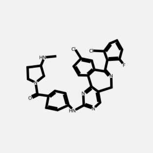 CNC1CCN(C(=O)c2ccc(Nc3ncc4c(n3)-c3ccc(Cl)cc3C(c3c(F)cccc3Cl)=NC4)cc2)C1